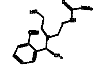 CNC(=O)NCCN(CCO)[C@@H](C)c1ccccc1OC